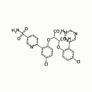 NS(=O)(=O)c1ccc(-c2cc(Cl)ccc2OC(C(=O)O)C(Oc2ccc(Cl)cc2-c2cncnc2)C(=O)O)nc1